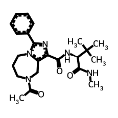 CNC(=O)[C@@H](NC(=O)c1nc(-c2ccccc2)n2c1CN(C(C)=O)CCC2)C(C)(C)C